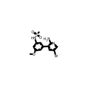 COc1cc(NS(C)(=O)=O)cc(-c2cc(Br)cnc2N)c1